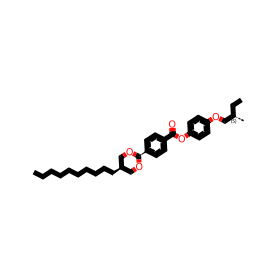 CCCCCCCCCC[C@H]1CO[C@H](c2ccc(C(=O)Oc3ccc(OC[C@@H](C)CC)cc3)cc2)OC1